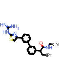 CC(C)CC(C(=O)NCC#N)c1cccc(-c2cccc(-c3csc(NC(=N)N)n3)c2)c1